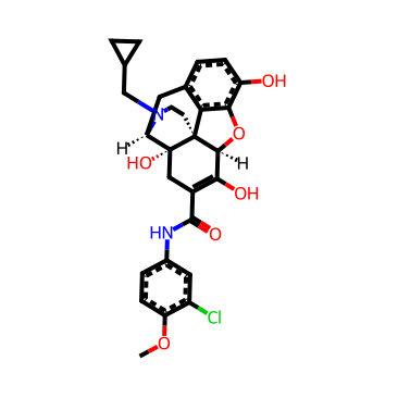 COc1ccc(NC(=O)C2=C(O)[C@@H]3Oc4c(O)ccc5c4[C@@]34CCN(CC3CC3)[C@H](C5)[C@]4(O)C2)cc1Cl